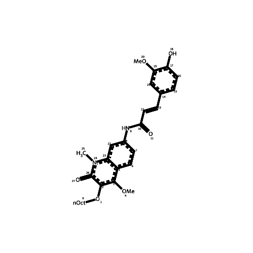 CCCCCCCCOc1c(OC)c2ccc(NC(=O)/C=C/c3ccc(O)c(OC)c3)cc2n(C)c1=O